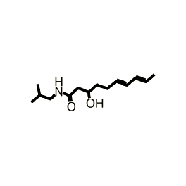 CC=CC=CCCC(O)CC(=O)NCC(C)C